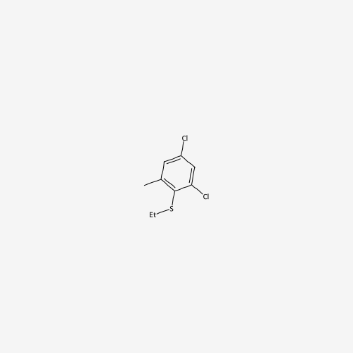 CCSc1c(C)cc(Cl)cc1Cl